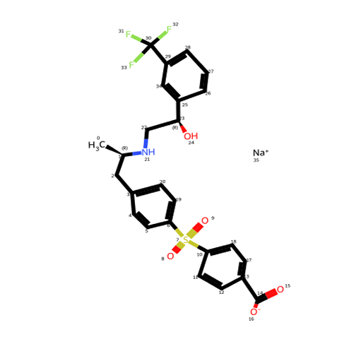 C[C@H](Cc1ccc(S(=O)(=O)c2ccc(C(=O)[O-])cc2)cc1)NC[C@H](O)c1cccc(C(F)(F)F)c1.[Na+]